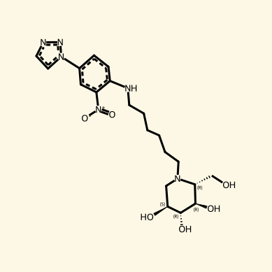 O=[N+]([O-])c1cc(-n2ccnn2)ccc1NCCCCCCN1C[C@H](O)[C@@H](O)[C@H](O)[C@H]1CO